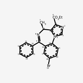 CCOC(=O)c1ncn2c1[C@H](C)N=C(c1ccccc1)c1cc(Br)ccc1-2